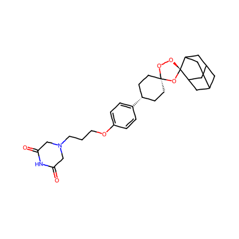 O=C1CN(CCCOc2ccc([C@H]3CC[C@]4(CC3)OO[C@]3(O4)C4CC5CC(C4)CC3C5)cc2)CC(=O)N1